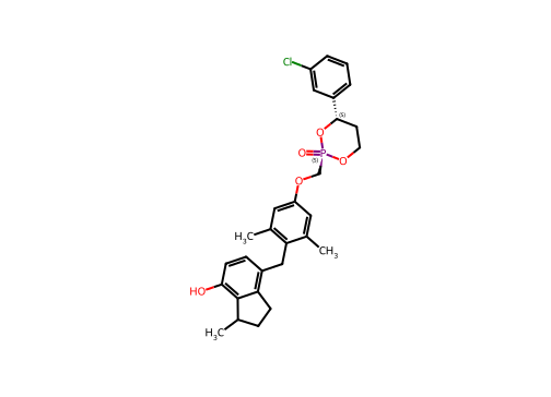 Cc1cc(OC[P@]2(=O)OCC[C@@H](c3cccc(Cl)c3)O2)cc(C)c1Cc1ccc(O)c2c1CCC2C